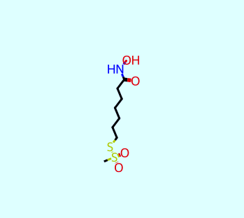 CS(=O)(=O)SCCCCCCC(=O)NO